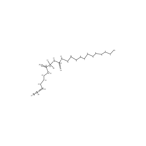 CCCCCCCCCCCCSC(=S)SC(C)(C)C(=O)OCCCN=[N+]=[N-]